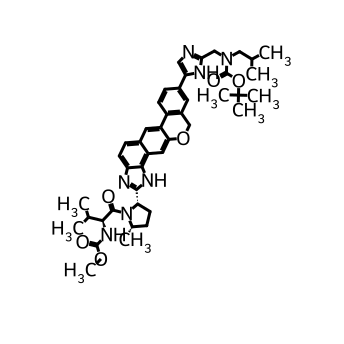 COC(=O)N[C@H](C(=O)N1[C@@H](C)CC[C@H]1c1nc2ccc3cc4c(cc3c2[nH]1)OCc1cc(-c2cnc(CN(CC(C)C)C(=O)OC(C)(C)C)[nH]2)ccc1-4)C(C)C